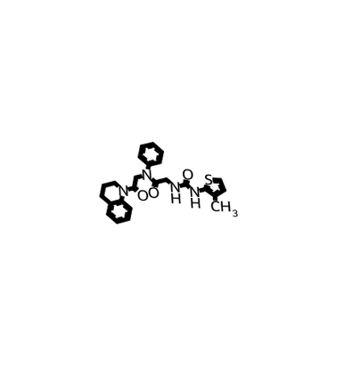 Cc1ccsc1NC(=O)NCC(=O)N(CC(=O)N1CCCc2ccccc21)c1ccccc1